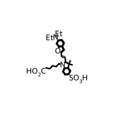 CCN(CC)c1ccc2cc(/C=C/C3=[N+](CCCCCC(=O)O)c4ccc(S(=O)(=O)O)cc4C3(C)C)oc2c1